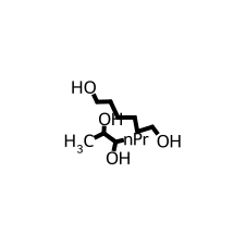 CCCC(O)C(C)O.OCCCCCCO